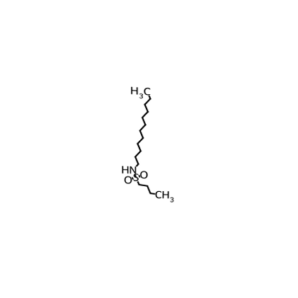 CCCCCCCCCCCCNS(=O)(=O)CCCC